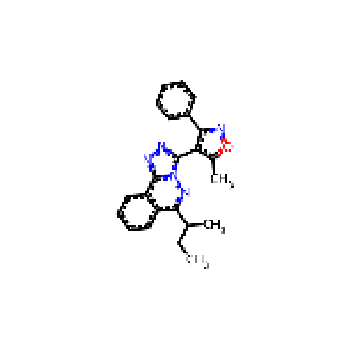 CCC(C)c1nn2c(-c3c(-c4ccccc4)noc3C)nnc2c2ccccc12